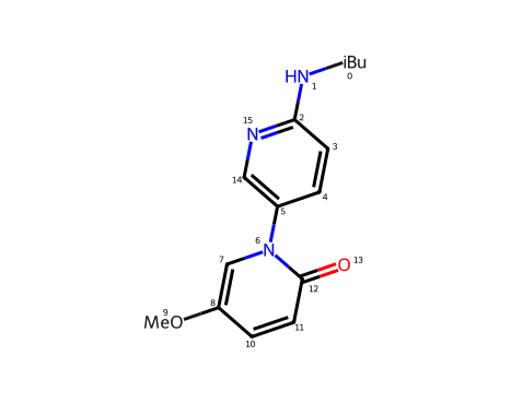 CCC(C)Nc1ccc(-n2cc(OC)ccc2=O)cn1